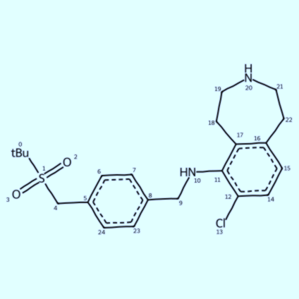 CC(C)(C)S(=O)(=O)Cc1ccc(CNc2c(Cl)ccc3c2CCNCC3)cc1